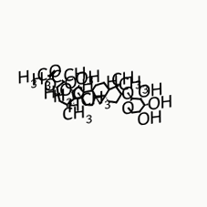 CC(=O)O[C@H]1[C@H]2C[C@@H](C)[C@H]3[C@](O2)(OC1(C)C)[C@H](O)[C@@]1(C)[C@@H]2CC[C@H]4C(C)(C)[C@@H](O[C@@H]5OC[C@@H](O)[C@H](O)[C@H]5O)CC[C@@]45C[C@@]25CC[C@]31C